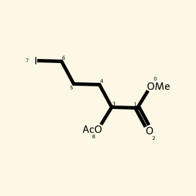 COC(=O)C(CCCI)OC(C)=O